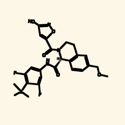 COCc1ccc2c(c1)CCN(C(=O)c1cc(O)no1)[C@H]2C(=O)Nc1cc(F)c(S(C)(C)C)c(F)c1